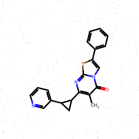 Cc1c(C2CC2c2cccnc2)nc2sc(-c3ccccc3)cn2c1=O